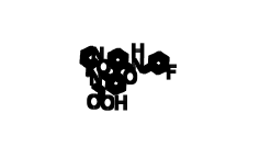 O=C(O)CCN(Cc1cccnc1)C(=O)c1ccccc1-c1ccccc1C(=O)NCc1cccc(F)c1